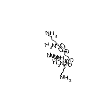 NCCCC[C@H](N)C(=O)OC(=O)CCC(=O)OC(=O)[C@@H](N)CCCCN.[MgH2].[MgH2]